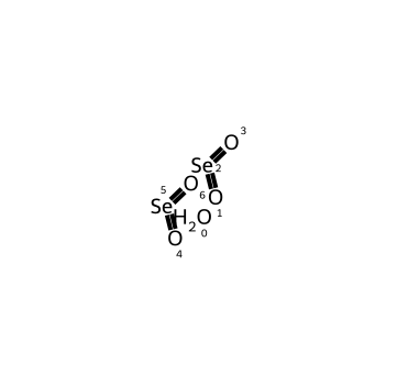 O.O=[Se]=O.O=[Se]=O